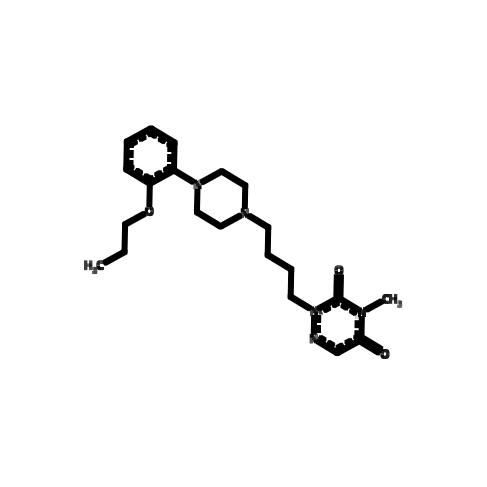 CCCOc1ccccc1N1CCN(CCCCn2ncc(=O)n(C)c2=O)CC1